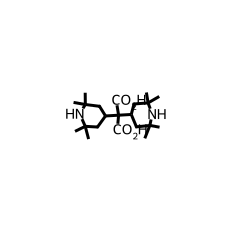 CC1(C)CC(C(C(=O)O)(C(=O)O)C2CC(C)(C)NC(C)(C)C2)CC(C)(C)N1